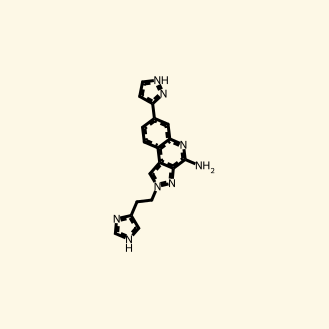 Nc1nc2cc(-c3cc[nH]n3)ccc2c2cn(CCc3c[nH]cn3)nc12